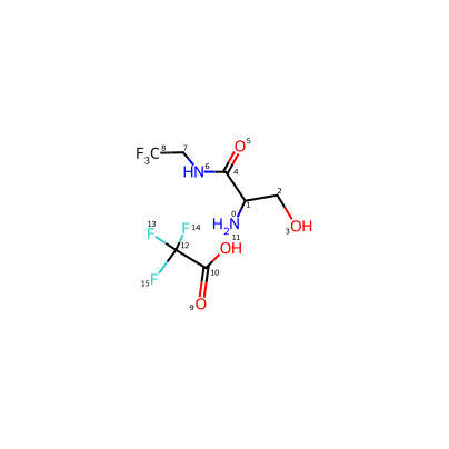 NC(CO)C(=O)NCC(F)(F)F.O=C(O)C(F)(F)F